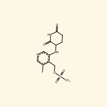 CS(=O)(=O)OCc1c(F)cncc1NC1CCC(=O)NC1=O